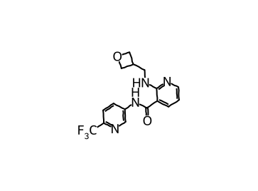 O=C(Nc1ccc(C(F)(F)F)nc1)c1cccnc1NCC1COC1